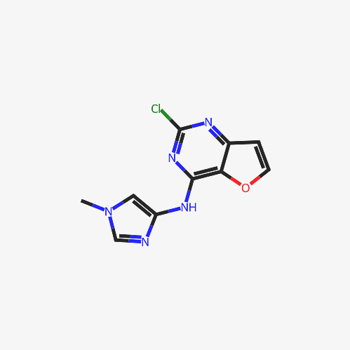 Cn1cnc(Nc2nc(Cl)nc3ccoc23)c1